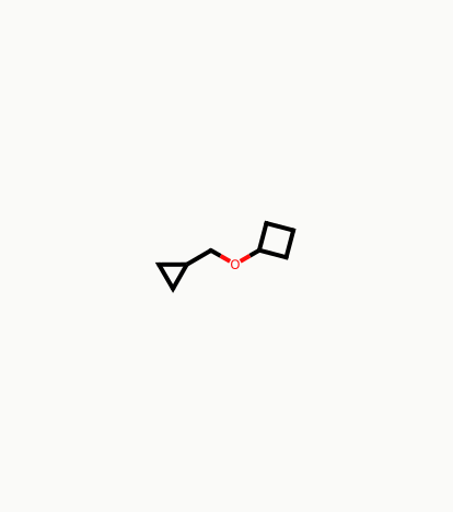 C1CC(OCC2CC2)C1